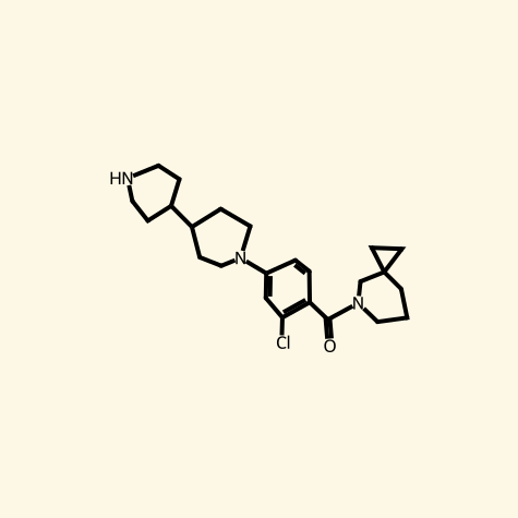 O=C(c1ccc(N2CCC(C3CCNCC3)CC2)cc1Cl)N1CCCC2(CC2)C1